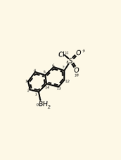 Bc1cccc2cc(S(=O)(=O)Cl)ccc12